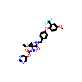 C=C[C@@H]1C[C@]1(NC(=O)Oc1cncnc1)C(=O)NCc1ccc(Oc2ccc(OC)cc2C(F)(F)F)cc1